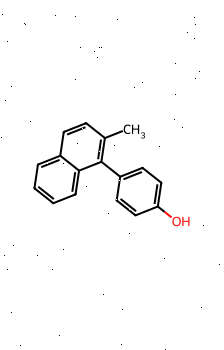 Cc1ccc2ccccc2c1-c1ccc(O)cc1